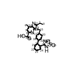 CCc1nc2c(C)cc(C(=O)O)nc2n1Cc1ccc(-c2ccccc2C2=NOS(=O)N2)cc1